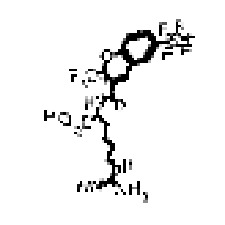 N=C(N)NCCCCC(NC(=O)C1=Cc2cc(S(F)(F)(F)(F)F)ccc2O[C@@H]1C(F)(F)F)C(=O)O